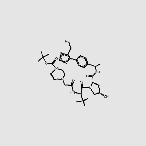 CC(NC(=O)[C@@H]1C[C@@H](O)CN1C(=O)C(NC(=O)CN1CCN(C(=O)OC(C)(C)C)CC1)C(C)(C)C)c1ccc(-c2scnc2CO)cc1